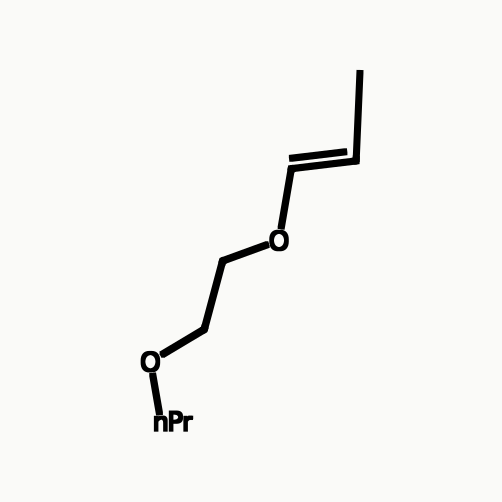 C/C=C/OCCOCCC